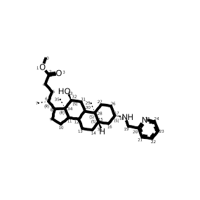 COC(=O)CC[C@@H](C)C1CCC2C3CC[C@H]4C[C@@H](NCc5ccccn5)CC[C@]4(C)C3C[C@H](O)[C@@]21C